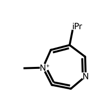 CC(C)C1=C[N+](C)=C=CN=C1